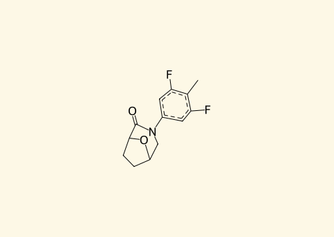 Cc1c(F)cc(N2CC3CCC(O3)C2=O)cc1F